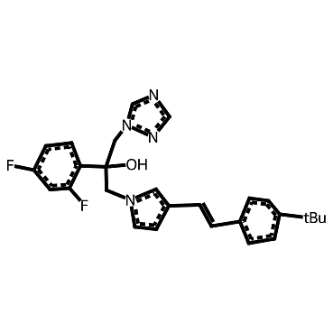 CC(C)(C)c1ccc(C=Cc2ccn(CC(O)(Cn3cncn3)c3ccc(F)cc3F)c2)cc1